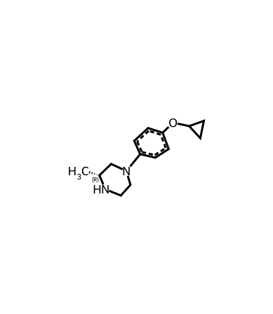 C[C@@H]1CN(c2ccc(OC3CC3)cc2)CCN1